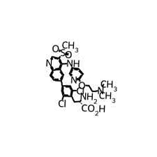 CN(C)CCOc1ccc(Nc2c(S(C)(=O)=O)cnc3ccc(-c4cc(Cl)c(C[C@H](N)C(=O)O)c(Cl)c4)cc23)cn1